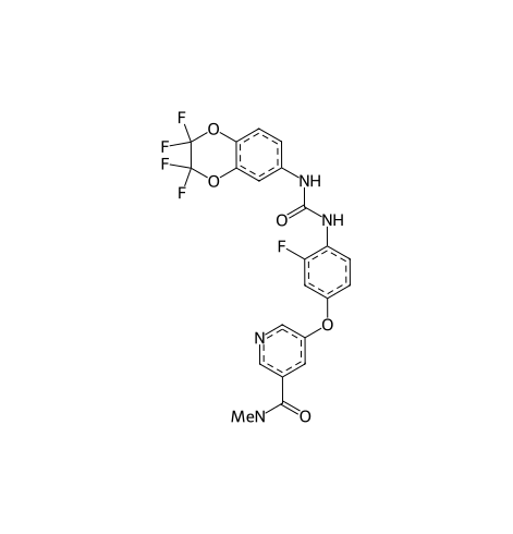 CNC(=O)c1cncc(Oc2ccc(NC(=O)Nc3ccc4c(c3)OC(F)(F)C(F)(F)O4)c(F)c2)c1